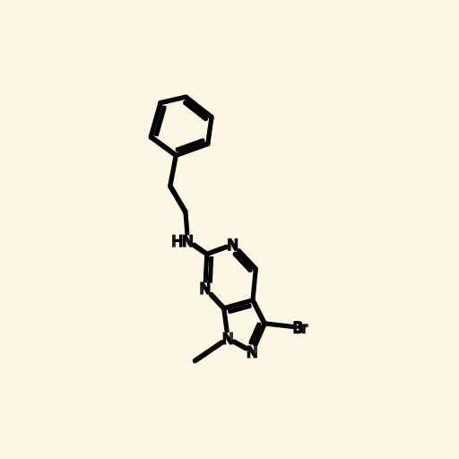 Cn1nc(Br)c2cnc(NCCc3ccccc3)nc21